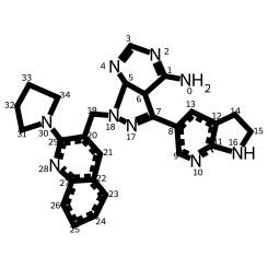 NC1=NC=NC2C1C(c1cnc3c(c1)CCN3)=NN2Cc1cc2ccccc2nc1N1CCCC1